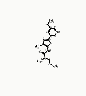 CSCC(C)C(=O)Nc1sc(-c2cncc(CP)c2)nc1C